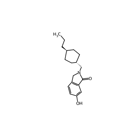 CCC[C@H]1CC[C@H](CN2Cc3ccc(O)cc3C2=O)CC1